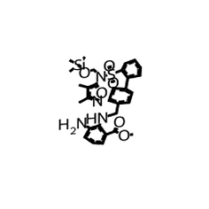 COC(=O)c1cccc(N)c1NCc1ccc(-c2ccccc2S(=O)(=O)N(CO[Si](C)(C)C)c2onc(C)c2C)cc1